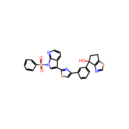 O=S(=O)(c1ccccc1)n1cc(-c2nc(-c3cccc([C@]4(O)CCc5scnc54)c3)cs2)c2cccnc21